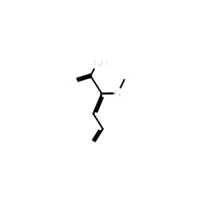 C=C/C=C(\NCC)C(N)=O